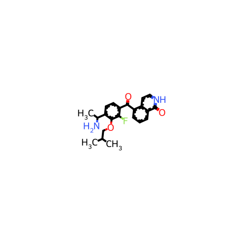 CC(C)COc1c(C(C)N)ccc(C(=O)c2cccc3c(=O)[nH]ccc23)c1F